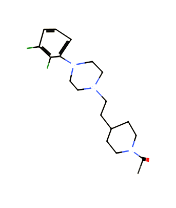 CC(=O)C(=O)N1CCC(CCN2CCN(c3cccc(Cl)c3Cl)CC2)CC1